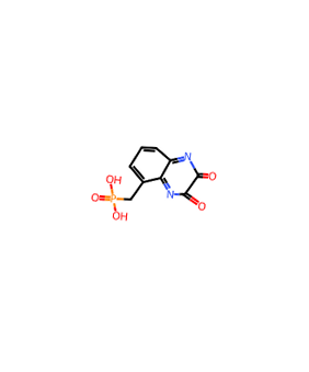 O=C1N=c2cccc(CP(=O)(O)O)c2=NC1=O